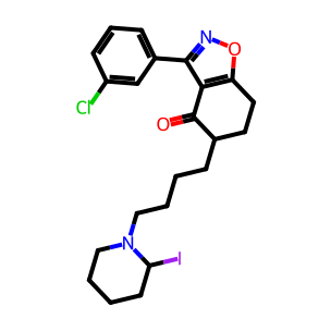 O=C1c2c(-c3cccc(Cl)c3)noc2CCC1CCCCN1CCCCC1I